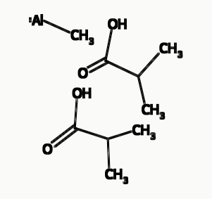 CC(C)C(=O)O.CC(C)C(=O)O.[CH3][Al]